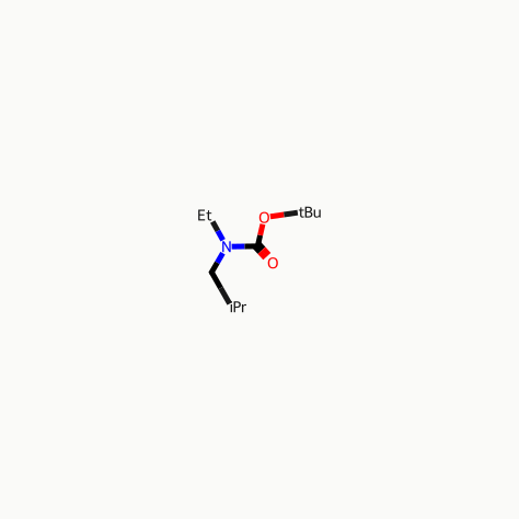 CCN(CC(C)C)C(=O)OC(C)(C)C